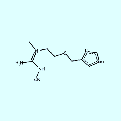 C[N+](CCSCc1c[nH]cn1)=C(N)NC#N